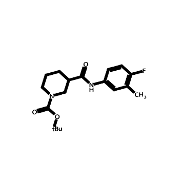 Cc1cc(NC(=O)C2CCCN(C(=O)OC(C)(C)C)C2)ccc1F